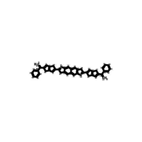 C=C(C1=CC2=C(C=C(C3=Nc4cc5cc6c(cc5cc4C3)N=C(C3=CC4=C(C=C(C(=C)c5ccccc5)C4)C3)C6)C2)C1)c1ccccc1